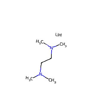 CN(C)CCN(C)C.[LiH]